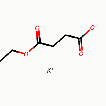 CCOC(=O)CCC(=O)[O-].[K+]